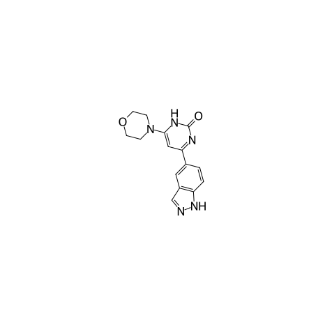 O=c1nc(-c2ccc3[nH]ncc3c2)cc(N2CCOCC2)[nH]1